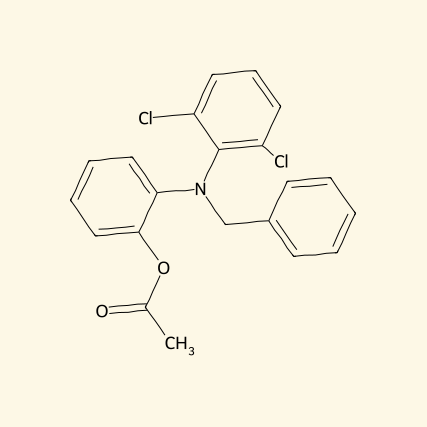 CC(=O)Oc1ccccc1N(Cc1ccccc1)c1c(Cl)cccc1Cl